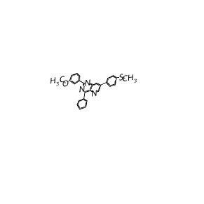 COc1cccc(-c2nc(-c3ccccc3)c3ncc(-c4ccc(SC)cc4)cc3n2)c1